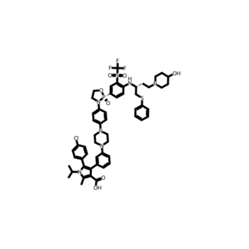 Cc1c(C(=O)O)c(-c2cccc(N3CCN(c4ccc(N5CCO[P@]5(=O)c5ccc(N[C@H](CCN6CCC(O)CC6)CSc6ccccc6)c(S(=O)(=O)C(F)(F)F)c5)cc4)CC3)c2)c(-c2ccc(Cl)cc2)n1C(C)C